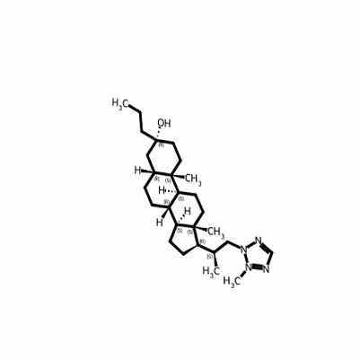 CCC[C@@]1(O)CC[C@@]2(C)[C@H](CC[C@@H]3[C@@H]2CC[C@]2(C)[C@@H]([C@H](C)Cn4ncn[n+]4C)CC[C@@H]32)C1